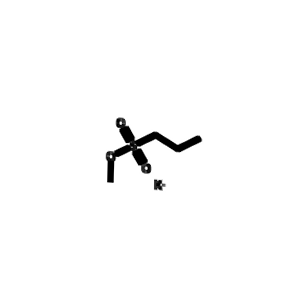 CCCS(=O)(=O)OC.[K]